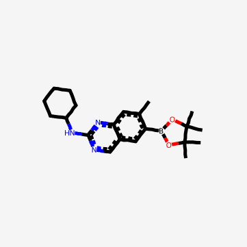 Cc1cc2nc(NC3CCCCC3)ncc2cc1B1OC(C)(C)C(C)(C)O1